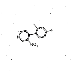 Cc1cc(F)ccc1-c1ccncc1[N+](=O)[O-]